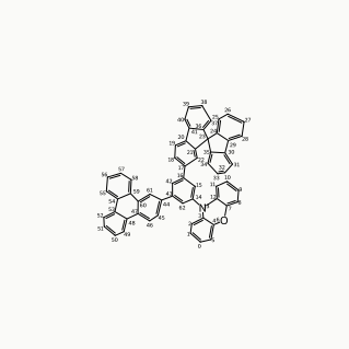 c1ccc2c(c1)Oc1ccccc1N2c1cc(-c2ccc3c(c2)C2(c4ccccc4-c4ccccc42)c2ccccc2-3)cc(-c2ccc3c4ccccc4c4ccccc4c3c2)c1